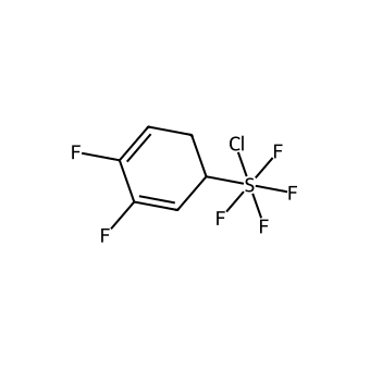 FC1=CCC(S(F)(F)(F)(F)Cl)C=C1F